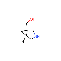 OC[C@]12CNC[C@H]1C2